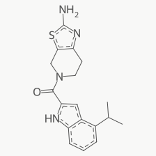 CC(C)c1cccc2[nH]c(C(=O)N3CCc4nc(N)sc4C3)cc12